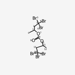 CC(CC(Br)(Br)Br)OC(=O)OC(C)CC(Br)(Br)Br